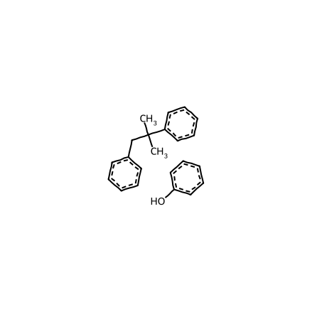 CC(C)(Cc1ccccc1)c1ccccc1.Oc1ccccc1